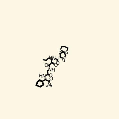 CCCC(NC(=O)[C@@H]1CC2(CN1C)SCCCS2)C(=O)C(=O)NCC(=O)N[C@H](C(=O)N(C)C)c1ccccc1